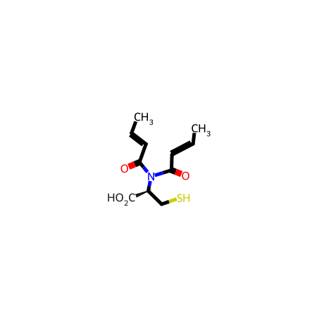 CC=CC(=O)N(C(=O)C=CC)[C@@H](CS)C(=O)O